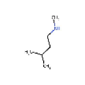 [CH2]NCCC(C)C